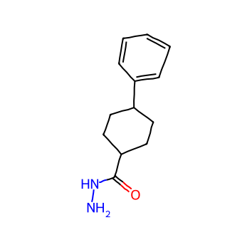 NNC(=O)C1CCC(c2ccccc2)CC1